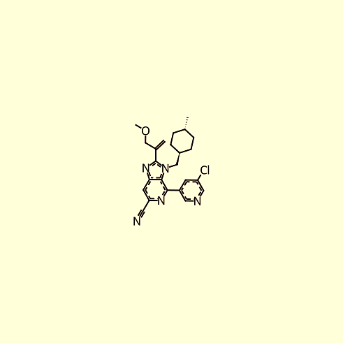 C=C(COC)c1nc2cc(C#N)nc(-c3cncc(Cl)c3)c2n1C[C@H]1CC[C@H](C)CC1